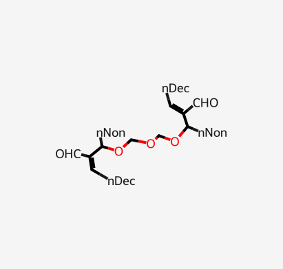 CCCCCCCCCCC=C(C=O)C(CCCCCCCCC)OCOCOC(CCCCCCCCC)C(C=O)=CCCCCCCCCCC